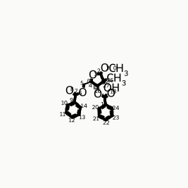 COC1O[C@H](COC(=O)c2ccccc2)[C@H](OC(=O)c2ccccc2)C1(C)O